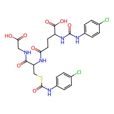 O=C(O)CNC(=O)C(CSC(=O)Nc1ccc(Cl)cc1)NC(=O)CCC(NC(=O)Nc1ccc(Cl)cc1)C(=O)O